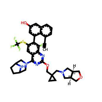 C#Cc1cccc2cc(O)cc(-c3c(SC(F)(F)F)cc4c(N5CC6CCC(C5)N6)nc(OCC5(CN6C[C@H]7COC[C@H]7C6)CC5)nc4c3F)c12